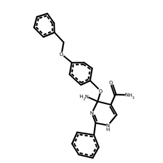 NC(=O)C1=CNC(c2ccccc2)=NC1(N)Oc1ccc(OCc2ccccc2)cc1